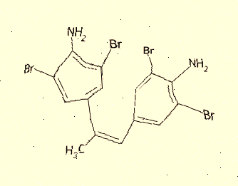 CC(=Cc1cc(Br)c(N)c(Br)c1)c1cc(Br)c(N)c(Br)c1